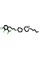 CCCCC[SiH]1CCC([C@H]2CC[C@H](CCCCc3ccc(Cl)c(F)c3C(F)F)CC2)CC1